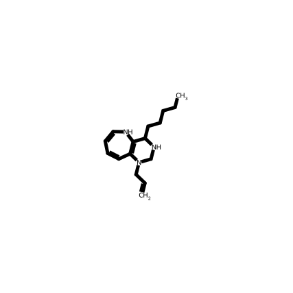 C=CCN1CNC(CCCCC)C2=C1C=CC=CN2